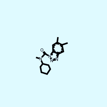 Cc1cc2nnn(C(=O)N(C)C3CCCCC3)c2cc1C